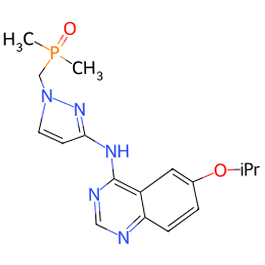 CC(C)Oc1ccc2ncnc(Nc3ccn(CP(C)(C)=O)n3)c2c1